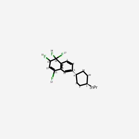 CCC[C@H]1CC[C@H](c2ccc3c(c2)C(F)=CC(F)C3(F)F)CC1